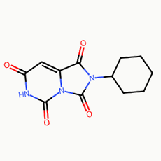 O=C1c2cc(=O)[nH]c(=O)n2C(=O)N1C1CCCCC1